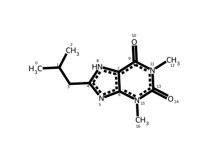 CC(C)Cc1nc2c([nH]1)c(=O)n(C)c(=O)n2C